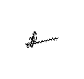 CCCCCCCCCCCCCCCCCCN(C=O)C1CC=CC(OC(C)=O)C1COC(=O)NCCCN(C)C